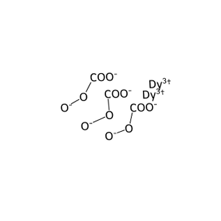 O=C([O-])O[O-].O=C([O-])O[O-].O=C([O-])O[O-].[Dy+3].[Dy+3]